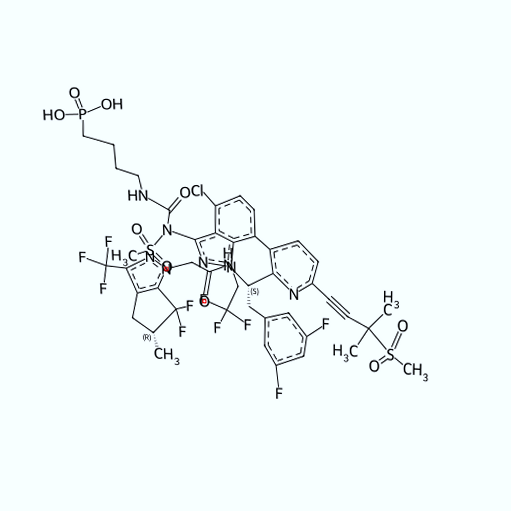 C[C@@H]1Cc2c(C(F)(F)F)nn(CC(=O)N[C@@H](Cc3cc(F)cc(F)c3)c3nc(C#CC(C)(C)S(C)(=O)=O)ccc3-c3ccc(Cl)c4c(N(C(=O)NCCCCP(=O)(O)O)S(C)(=O)=O)nn(CC(F)(F)F)c34)c2C1(F)F